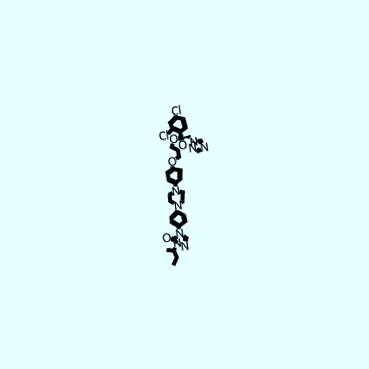 CCC(C)n1ncn(-c2ccc(N3CCN(c4ccc(OCC5CO[C@](Cn6cncn6)(c6ccc(Cl)cc6Cl)O5)cc4)CC3)cc2)c1=O